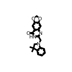 CC1(C)CN(Cc2nc3cc4c(cc3c(=O)[nH]2)OCO4)c2ccccc21